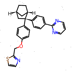 c1cnc(-c2ccc([C@@]3(c4ccc(OCc5nccs5)cc4)C[C@@H]4CC[C@H]3C4)cc2)nc1